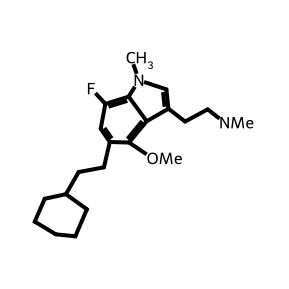 CNCCc1cn(C)c2c(F)cc(CCC3CCCCC3)c(OC)c12